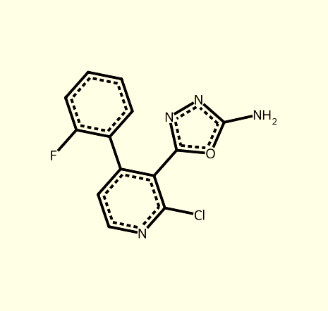 Nc1nnc(-c2c(-c3ccccc3F)ccnc2Cl)o1